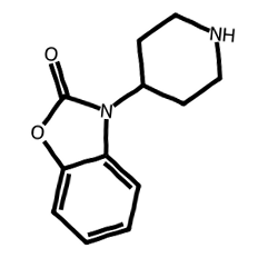 O=c1oc2ccccc2n1C1CCNCC1